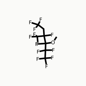 COC(F)(C(F)(F)C(F)(F)F)C(F)(CC(F)(F)F)C(F)(F)F